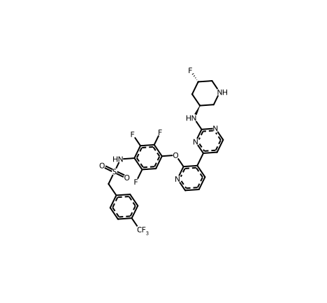 O=S(=O)(Cc1ccc(C(F)(F)F)cc1)Nc1c(F)cc(Oc2ncccc2-c2ccnc(N[C@@H]3CNC[C@@H](F)C3)n2)c(F)c1F